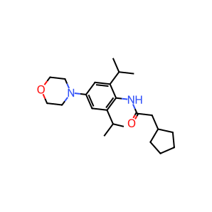 CC(C)c1cc(N2CCOCC2)cc(C(C)C)c1NC(=O)CC1CCCC1